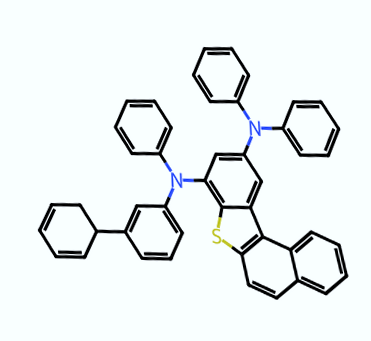 C1=CCC(c2cccc(N(c3ccccc3)c3cc(N(c4ccccc4)c4ccccc4)cc4c3sc3ccc5ccccc5c34)c2)C=C1